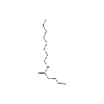 C=CCCC(C)OCCCCCCCC